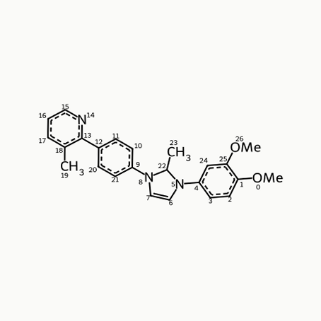 COc1ccc(N2C=CN(c3ccc(-c4ncccc4C)cc3)C2C)cc1OC